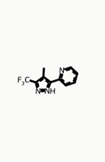 Cc1c(C(F)(F)F)n[nH]c1-c1ccccn1